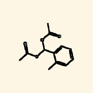 CC(=O)OC(OC(C)=O)c1ccccc1C